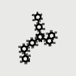 c1ccc(-c2ccc(-c3nc(-c4ccc(-c5cccc(-c6cccnc6)c5)cc4)nc(-c4cccc5ccccc45)n3)cc2)cc1